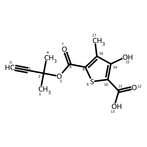 C#CC(C)(C)OC(=O)c1sc(C(=O)O)c(O)c1C